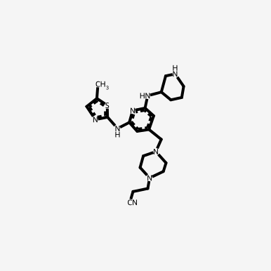 Cc1cnc(Nc2cc(CN3CCN(CCC#N)CC3)cc(NC3CCCNC3)n2)s1